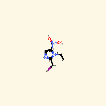 CCn1c([N+](=O)[O-])cnc1CI